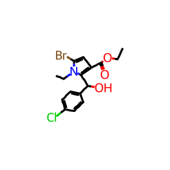 CCOC(=O)c1cc(Br)n(CC)c1C(O)c1ccc(Cl)cc1